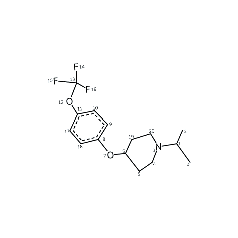 CC(C)N1CCC(Oc2ccc(OC(F)(F)F)cc2)CC1